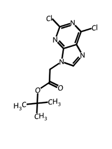 CC(C)(C)OC(=O)Cn1cnc2c(Cl)nc(Cl)nc21